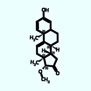 CO[C@H]1C(=O)C[C@H]2[C@@H]3CCC4C=C(O)C=C[C@]4(C)C3=CC[C@]12C